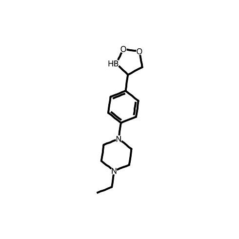 CCN1CCN(c2ccc(C3BOOC3)cc2)CC1